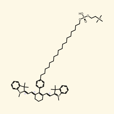 CN1/C(=C/C=C2\CCCC(/C=C/C3=[N+](C)c4ccccc4C3(C)C)=C2c2ccc(CCCCCCCCCCCCCCCCCCOP(=O)(O)OCC[N+](C)(C)C)cc2)C(C)(C)c2ccccc21